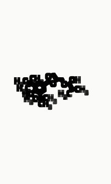 C=C(C)C(O)OCC1COC(c2cc(C(C)(C)C)c(O)c(C(C)(C)C)c2)O1